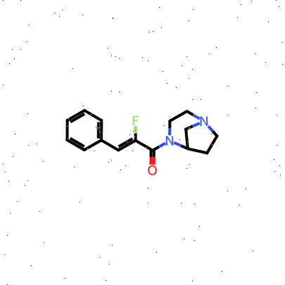 O=C(C(F)=Cc1ccccc1)N1CCN2CCC1C2